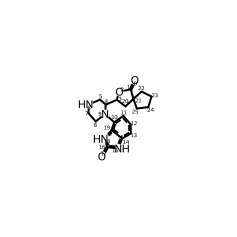 O=C1OC(C2CNCCN2c2cccc3[nH]c(=O)[nH]c23)CC12CCCC2